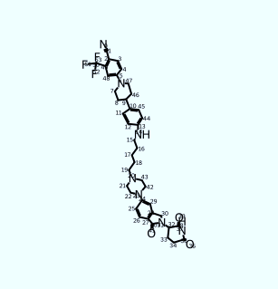 N#Cc1ccc(N2CCC(c3ccc(NCCCCCN4CCN(c5ccc6c(c5)CN(C5CCC(=O)NC5=O)C6=O)CC4)cc3)CC2)cc1C(F)(F)F